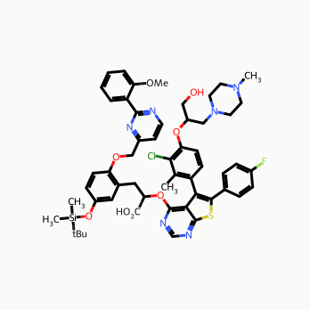 COc1ccccc1-c1nccc(COc2ccc(O[Si](C)(C)C(C)(C)C)cc2CC(Oc2ncnc3sc(-c4ccc(F)cc4)c(-c4ccc(OC(CO)CN5CCN(C)CC5)c(Cl)c4C)c23)C(=O)O)n1